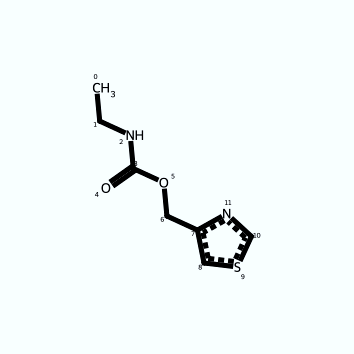 CCNC(=O)OCc1cscn1